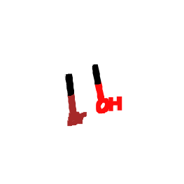 CBr.CO